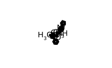 Cc1cc(-c2ccccc2)c(C(=O)C(=O)Nc2ccc(N3CCCC3)nc2)n1C